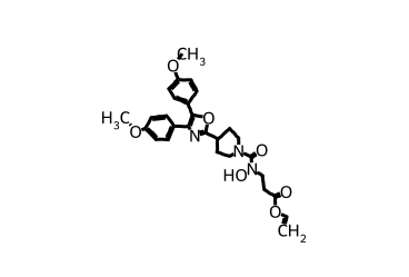 C=COC(=O)CCN(O)C(=O)N1CCC(c2nc(-c3ccc(OC)cc3)c(-c3ccc(OC)cc3)o2)CC1